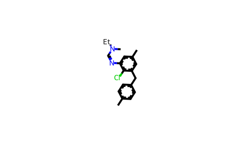 CCN(C)/C=N\c1cc(C)cc(Cc2ccc(C)cc2)c1Cl